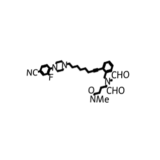 CNC(=O)CCC(C=O)N(C)Cc1c(C#CCCCCCCN2CCN(c3ccc(C#N)cc3F)CC2)cccc1C=O